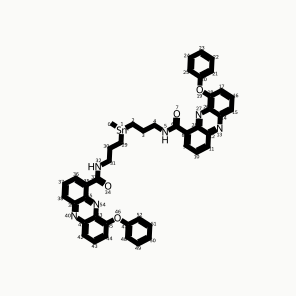 [CH3][Sn]([CH2]CCNC(=O)c1cccc2nc3cccc(Oc4ccccc4)c3nc12)[CH2]CCNC(=O)c1cccc2nc3cccc(Oc4ccccc4)c3nc12